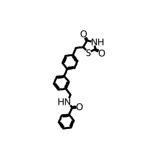 O=C1NC(=O)C(Cc2ccc(-c3cccc(CNC(=O)c4ccccc4)c3)cc2)S1